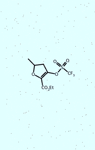 CCOC(=O)C1=C(OS(=O)(=O)C(F)(F)F)CC(C)O1